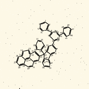 c1ccc(-c2cc(-c3ccc4c(c3)C(c3ccccc3)(c3cc5ccc6cccc7ccc(c3)c5c67)c3ccccc3-4)nc(-c3ccccc3)n2)cc1